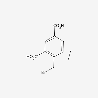 CC.O=C(O)c1ccc(CBr)c(C(=O)O)c1